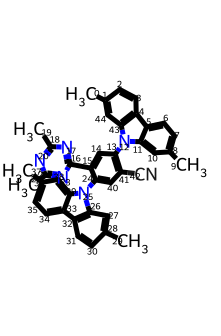 Cc1ccc2c3ccc(C)cc3n(-c3cc(-c4nc(C)nc(C)n4)c(-n4c5cc(C)ccc5c5ccc(C)cc54)cc3C#N)c2c1